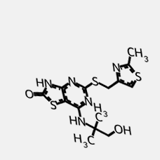 Cc1nc(CSc2nc(NC(C)(C)CO)c3sc(=O)[nH]c3n2)cs1